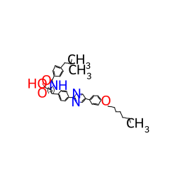 CCCCCCCOc1ccc(-c2cnc(-c3ccc(C[C@H](NC(=O)c4ccc(CC(C)C)cc4)C(=O)O)cc3)nc2)cc1